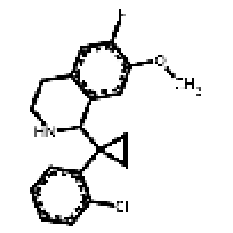 COc1cc2c(cc1F)CCNC2C1(c2ccccc2Cl)CC1